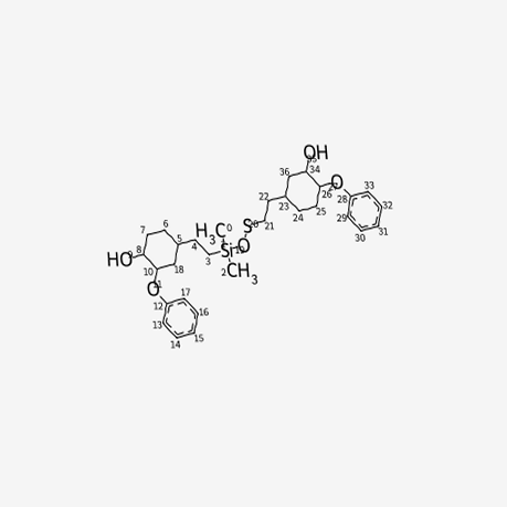 C[Si](C)(CCC1CCC(O)C(Oc2ccccc2)C1)OSCCC1CCC(Oc2ccccc2)C(O)C1